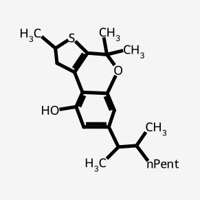 CCCCCC(C)C(C)c1cc(O)c2c(c1)OC(C)(C)C1=C2CC(C)S1